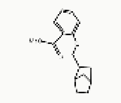 COC(=O)c1ccccc1OCC1CC2CCC1C2